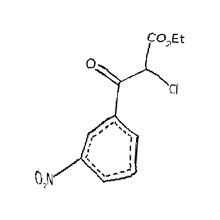 CCOC(=O)C(Cl)C(=O)c1cccc([N+](=O)[O-])c1